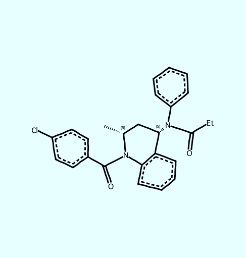 CCC(=O)N(c1ccccc1)[C@H]1C[C@@H](C)N(C(=O)c2ccc(Cl)cc2)c2ccccc21